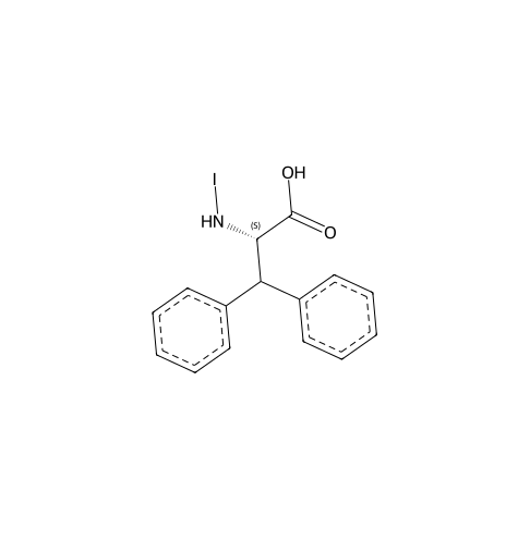 O=C(O)[C@@H](NI)C(c1ccccc1)c1ccccc1